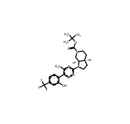 Cc1nc(N2CC[C@@H]3CCN(C(=O)OC(C)(C)C)C[C@@H]32)nnc1-c1ccc(C(F)(F)F)cc1O